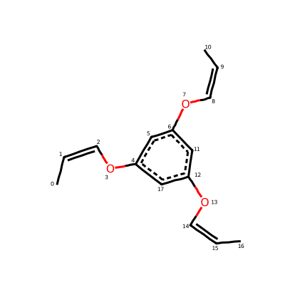 C/C=C\Oc1cc(O/C=C\C)cc(O/C=C\C)c1